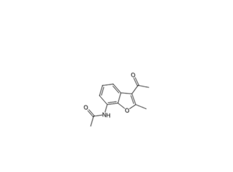 CC(=O)Nc1cccc2c(C(C)=O)c(C)oc12